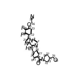 Cc1cc(Nc2nccn3c(-c4ccc(OCC#N)c(F)c4F)cnc23)ccc1C(=O)N1CCC(C=O)CC1